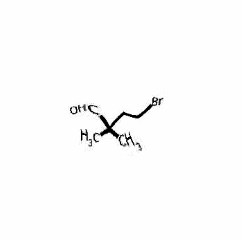 CC(C)(C=O)CCBr